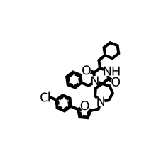 O=C1C(CC2CCCCC2)NC(=O)C2(CCCN(Cc3ccc(-c4ccc(Cl)cc4)o3)CC2)N1Cc1ccccc1